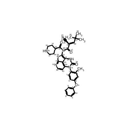 Cc1cc(Oc2ccccc2)ccc1N1C(=O)Nc2c(N(C(=O)/C(C#N)=C/C(C)(C)C)C(=O)C3CCNCC3)sc3nccc1c23